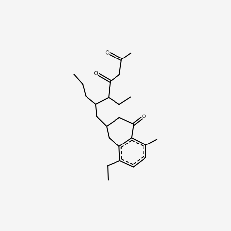 CCCC(CC1CC(=O)c2c(C)ccc(CC)c2C1)C(CC)C(=O)CC(C)=O